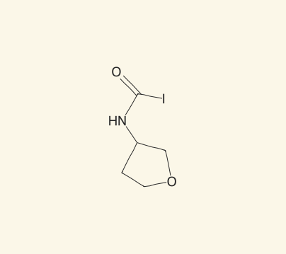 O=C(I)NC1CCOC1